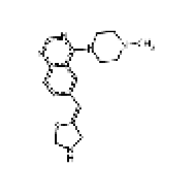 CN1CCN(c2ncnc3ccc(C=C4CNCS4)cc23)CC1